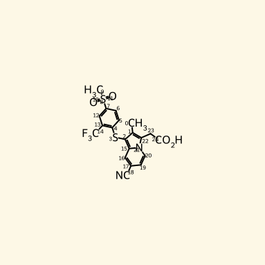 Cc1c(Sc2ccc(S(C)(=O)=O)cc2C(F)(F)F)c2cc(C#N)ccn2c1CC(=O)O